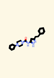 O=C(Nc1cc(CCc2ccccc2)n[nH]1)N1CCN(c2ccccc2)CC1